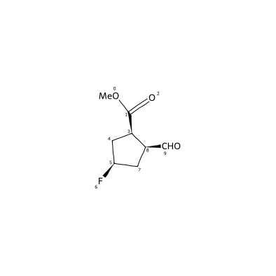 COC(=O)[C@@H]1C[C@H](F)C[C@@H]1C=O